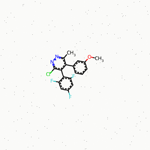 COc1cccc(-c2c(C)nnc(Cl)c2-c2c(F)cc(F)cc2F)c1